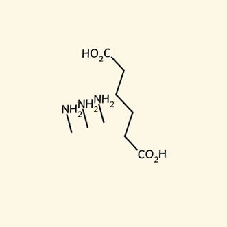 CN.CN.CN.O=C(O)CCCCC(=O)O